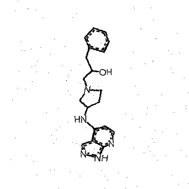 OC(Cc1ccccc1)CN1CCC(Nc2ccnc3[nH]ncc23)C1